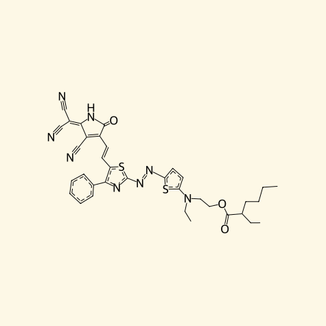 CCCCC(CC)C(=O)OCCN(CC)c1ccc(/N=N/c2nc(-c3ccccc3)c(/C=C/C3=C(C#N)C(=C(C#N)C#N)NC3=O)s2)s1